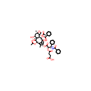 CC(=O)O[C@H]1C(=O)[C@@]2(C)C([C@H](OC(=O)c3ccccc3)[C@]3(O)C[C@H](OC(=O)[C@H](OC(=O)CCC(=O)O)[C@@H](NC(=O)c4ccccc4)c4ccccc4)C(C)=C1C3(C)C)[C@]1(OC(C)=O)CO[C@@H]1C[C@@H]2O